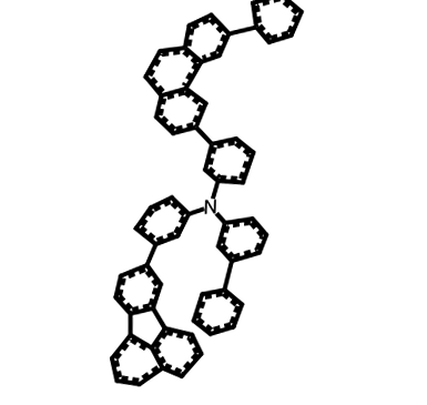 c1ccc(-c2cccc(N(c3cccc(-c4ccc5c(c4)-c4cccc6cccc-5c46)c3)c3cccc(-c4ccc5ccc6ccc(-c7ccccc7)cc6c5c4)c3)c2)cc1